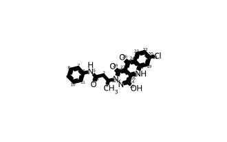 CC(CC(=O)Nc1ccccc1)n1nc(O)c2[nH]c3cc(Cl)ccc3c(=O)c2c1=O